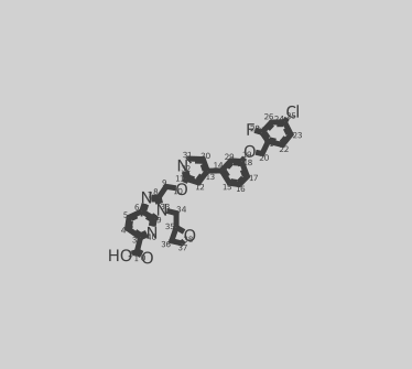 O=C(O)c1ccc2nc(COc3cc(-c4cccc(OCc5ccc(Cl)cc5F)c4)ccn3)n(CC3CCO3)c2n1